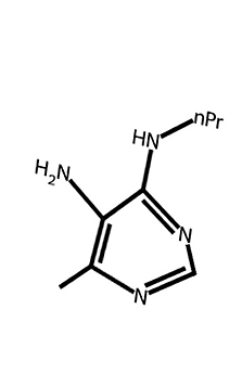 CCCNc1ncnc(C)c1N